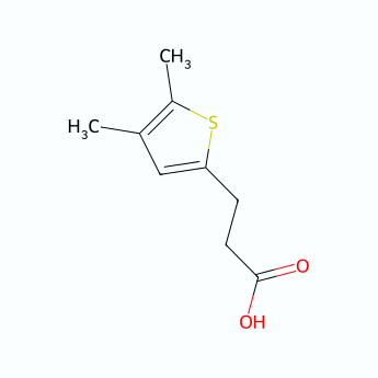 Cc1cc(CCC(=O)O)sc1C